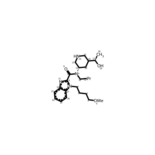 COCCCCn1c(C(=O)N(CC(C)C)[C@@H]2CNCC([C@@H](C)O)C2)nc2ccccc21